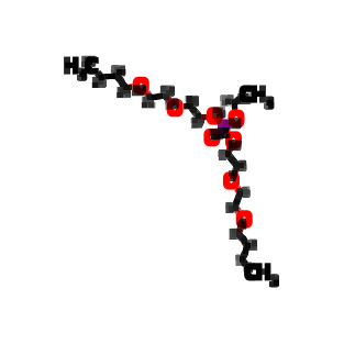 CCCCOCCOCCOP(=O)(OCC)OCCOCCOCCCC